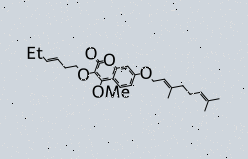 CCC=CCCOc1c(OC)c2ccc(OC/C=C(\C)CCC=C(C)C)cc2oc1=O